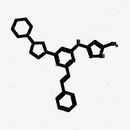 Cc1cc(Nc2cc(N3CCC(N4CCCCC4)C3)nc(C=Cc3ccccc3)n2)n[nH]1